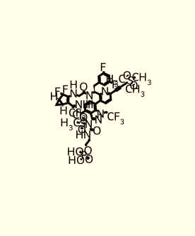 CC(C)(C#Cc1ccc(-c2ccc(Cl)c3c(N(C(=O)NCCOP(=O)(O)O)S(C)(=O)=O)nn(CC(F)(F)F)c23)c([C@H](Cc2cc(F)cc(F)c2)NC(=O)CNC2=C(C(=N)C(F)(F)F)[C@H]3C[C@H]3C2(F)F)n1)S(C)(=O)=O